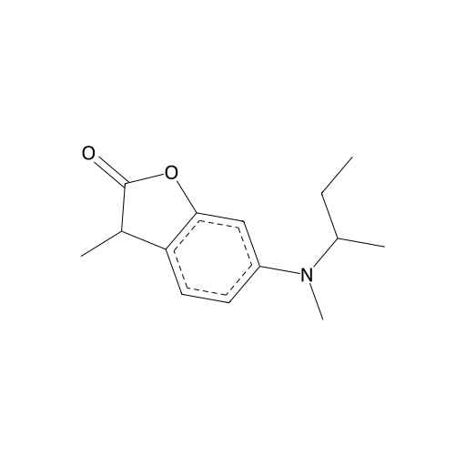 CCC(C)N(C)c1ccc2c(c1)OC(=O)C2C